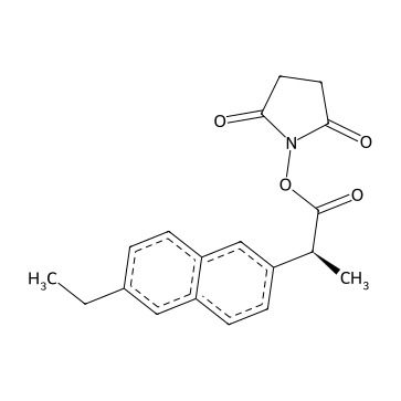 CCc1ccc2cc([C@H](C)C(=O)ON3C(=O)CCC3=O)ccc2c1